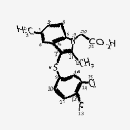 Cc1ccc2c(c1)c(Sc1ccc(F)c(Cl)c1)c(C)n2CC(=O)O